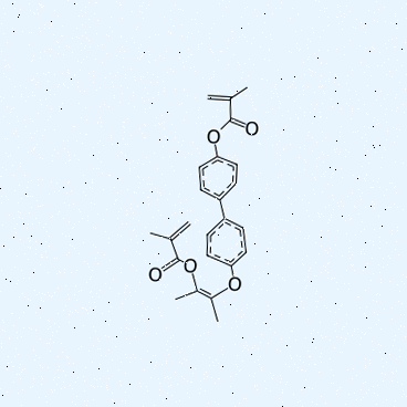 C=C(C)C(=O)OC(C)=C(C)Oc1ccc(-c2ccc(OC(=O)C(=C)C)cc2)cc1